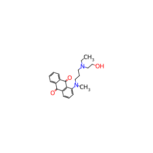 CCN(CCO)CCCN(C)c1cccc2c1C(=O)c1ccccc1C2=O